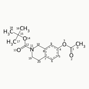 CC(=O)Oc1ccc2c(c1)CN(C(=O)OC(C)(C)C)CC2